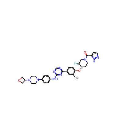 N#Cc1cc(-c2ncnc(Nc3ccc(N4CCN(C5COC5)CC4)cc3)n2)ccc1O[C@H]1CCN(C(=O)c2ccn[nH]2)C[C@@H]1F